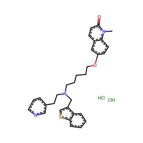 Cl.Cl.Cn1c(=O)ccc2cc(OCCCCCN(CCc3cccnc3)Cc3csc4ccccc34)ccc21